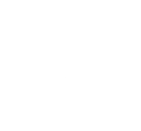 Oc1cccc(C2=Cc3ccc(O)cc3OC2)c1